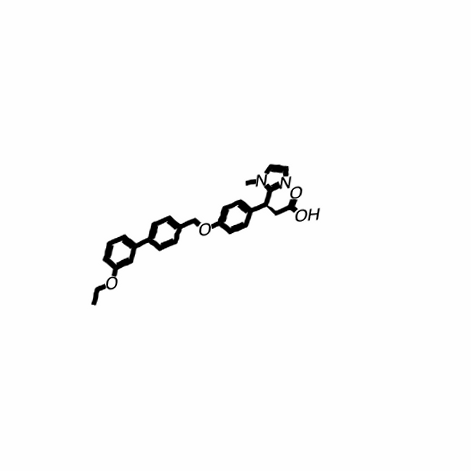 CCOc1cccc(-c2ccc(COc3ccc([C@H](CC(=O)O)c4nccn4C)cc3)cc2)c1